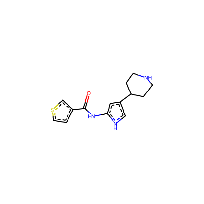 O=C(Nc1cc(C2CCNCC2)c[nH]1)c1ccsc1